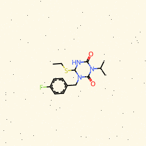 CCSC1NC(=O)N(C(C)C)C(=O)N1Cc1ccc(F)cc1